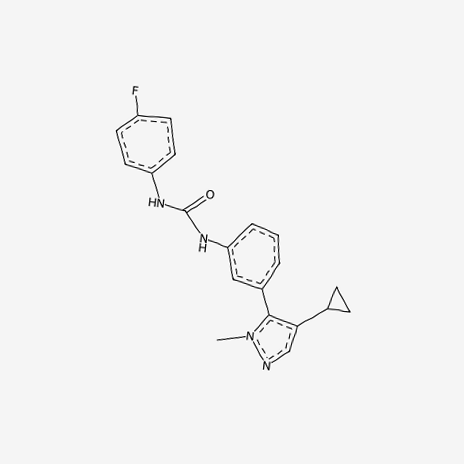 Cn1ncc(C2CC2)c1-c1cccc(NC(=O)Nc2ccc(F)cc2)c1